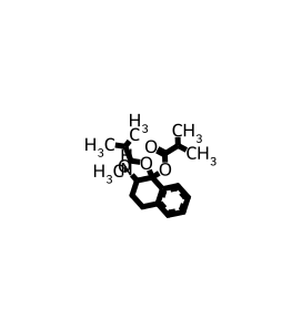 CNC1CCc2ccccc2C1(OC(=O)C(C)C)OC(=O)C(C)C